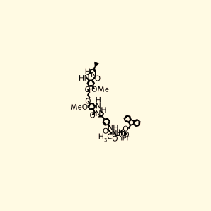 COc1cc2c(cc1OCCCOc1cc3c(cc1OC)C(=O)N1C=C(C4CC4)C[C@H]1CN3)NC[C@@H]1CC(c3ccc(NC(=O)[C@H](C)NC(=O)[C@@H](NC(=O)OCC4c5ccccc5-c5ccccc54)C(C)C)cc3)=CN1C2=O